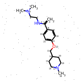 C=C(NCCN(C)C)c1ccc(OCC2CCN(C)CC2)cc1